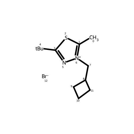 Cc1sc(C(C)(C)C)n[n+]1CC1CCC1.[Br-]